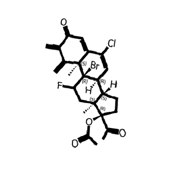 C=C1C(=C)[C@@]2(C)C(=CC1=O)C(Cl)=C[C@H]1[C@@H]3CC[C@](OC(C)=O)(C(C)=O)[C@@]3(C)CC(F)[C@@]12Br